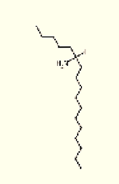 CCCCCCCCCCCC(N)(F)CCCCC